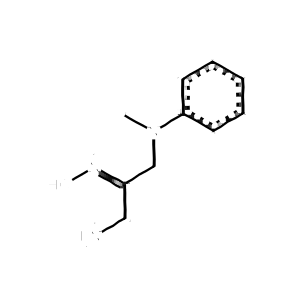 CN(CC(CN)=NO)c1ccccc1